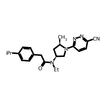 CCN(C(=O)Cc1ccc(C(C)C)cc1)[C@H]1C[C@@H](C)N(c2ccc(C#N)nn2)C1